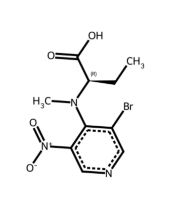 CC[C@H](C(=O)O)N(C)c1c(Br)cncc1[N+](=O)[O-]